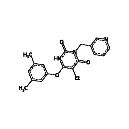 CCc1c(Oc2cc(C)cc(C)c2)[nH]c(=O)n(Cc2cccnc2)c1=O